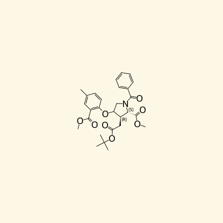 COC(=O)c1cc(C)ccc1OC1CN(C(=O)c2ccccc2)[C@H](C(=O)OC)[C@H]1CC(=O)OC(C)(C)C